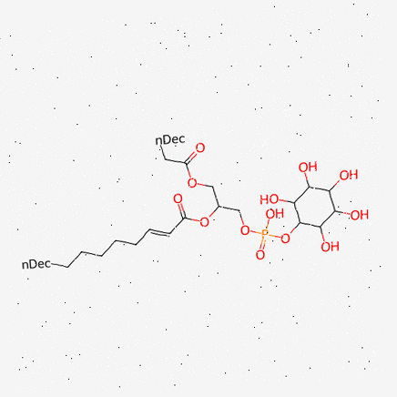 CCCCCCCCCCCCCCCC=CC(=O)OC(COC(=O)CCCCCCCCCCC)COP(=O)(O)OC1C(O)C(O)C(O)C(O)C1O